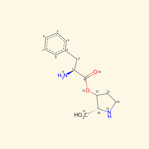 N[C@@H](Cc1ccccc1)C(=O)OC1CCN[C@@H]1C(=O)O